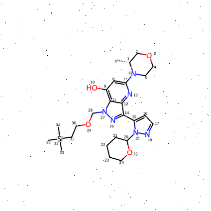 C[C@@H]1COCCN1c1cc(O)c2c(n1)c(-c1ccnn1C1CCCCO1)nn2COCC[Si](C)(C)C